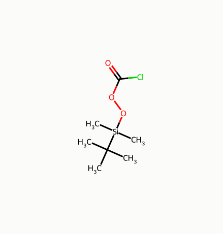 CC(C)(C)[Si](C)(C)OOC(=O)Cl